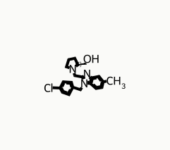 Cc1ccc2c(c1)nc(CN1CCC[C@H]1CO)n2Cc1ccc(Cl)cc1